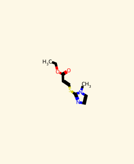 CCOC(=O)C=CSc1nccn1C